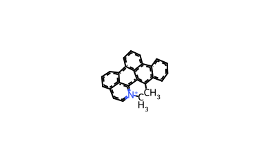 Cc1c2ccccc2c2cccc3c4cccc5cc[n+](C)c(c1c23)c54